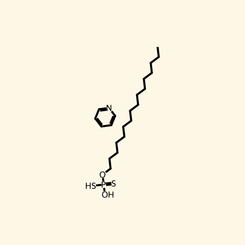 CCCCCCCCCCCCCCCCOP(O)(=S)S.c1ccncc1